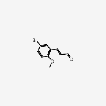 COc1ccc(Br)cc1/C=C/C=O